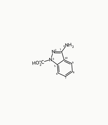 Nc1nn(C(=O)O)c2ccccc12